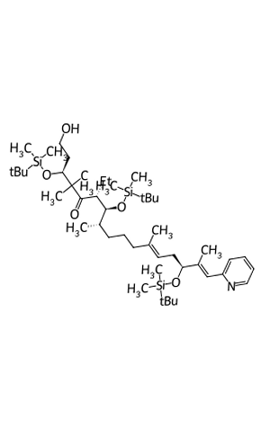 CC[C@@H](C(=O)C(C)(C)[C@H](CCO)O[Si](C)(C)C(C)(C)C)[C@@H](O[Si](C)(C)C(C)(C)C)[C@@H](C)CCC/C(C)=C/C[C@H](O[Si](C)(C)C(C)(C)C)/C(C)=C/c1ccccn1